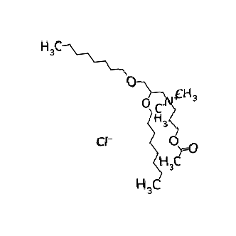 CCCCCCCCOCC(C[N+](C)(C)CCCOC(C)=O)OCCCCCCCC.[Cl-]